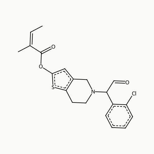 C/C=C(/C)C(=O)Oc1cc2c(s1)CCN(C(C=O)c1ccccc1Cl)C2